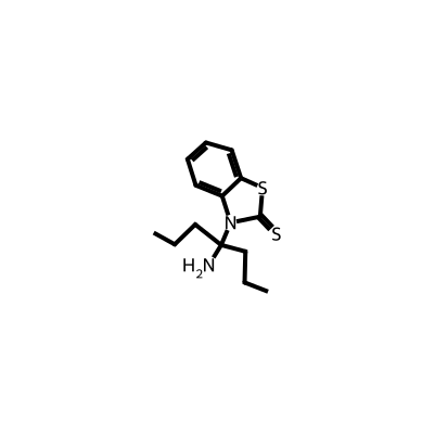 CCCC(N)(CCC)n1c(=S)sc2ccccc21